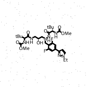 CCn1ccc(-c2cc(F)c(CN(C[C@H](O)CNC(=O)C(NC(=O)OC)C(C)(C)C)NC(=O)[C@@H](NC(=O)OC)C(C)(C)C)c(F)c2)n1